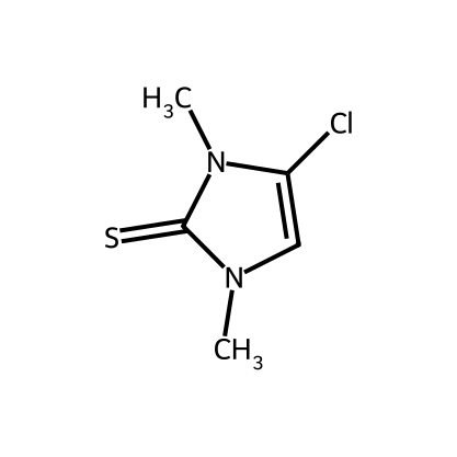 Cn1cc(Cl)n(C)c1=S